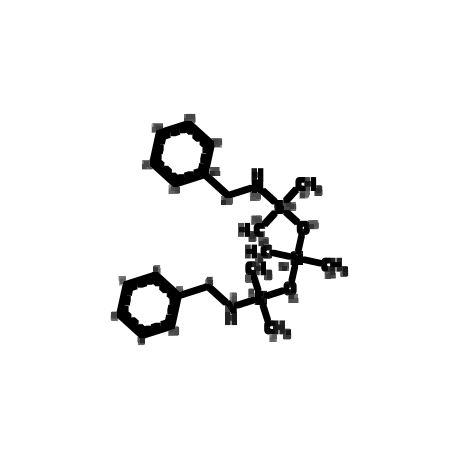 C[Si](C)(NCc1ccccc1)O[Si](C)(C)O[Si](C)(C)NCc1ccccc1